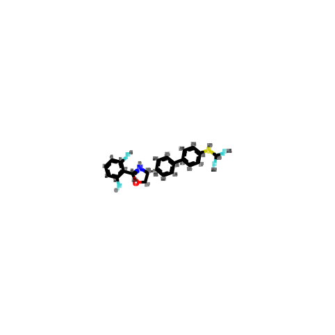 Fc1cccc(F)c1C1=N[C@H](c2ccc(-c3ccc(SC(F)F)cc3)cc2)CO1